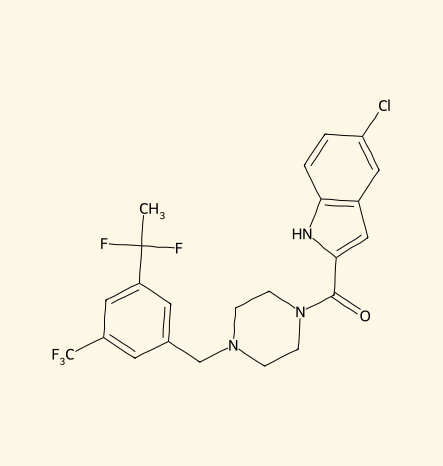 CC(F)(F)c1cc(CN2CCN(C(=O)c3cc4cc(Cl)ccc4[nH]3)CC2)cc(C(F)(F)F)c1